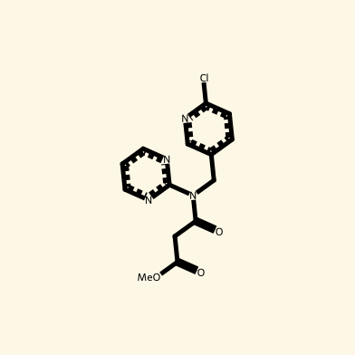 COC(=O)CC(=O)N(Cc1ccc(Cl)nc1)c1ncccn1